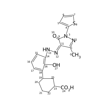 CC1=NN(c2cccs2)C(=O)C1=NNc1cccc(C2CCCC(C(=O)O)C2)c1O